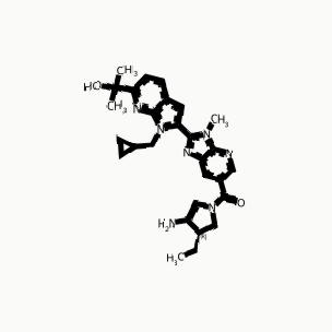 CC[C@@H]1CN(C(=O)c2cnc3c(c2)nc(-c2cc4ccc(C(C)(C)O)nc4n2CC2CC2)n3C)C=C1N